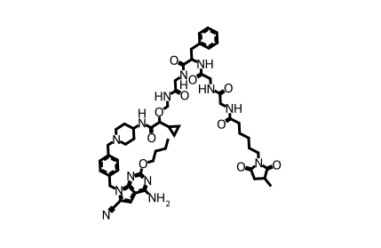 CCCCOc1nc(N)c2cc(C#N)n(Cc3ccc(CN4CCC(NC(=O)C(OCNC(=O)CNC(=O)C(Cc5ccccc5)NC(=O)CNC(=O)CNC(=O)CCCCCN5C(=O)CC(C)C5=O)C5CC5)CC4)cc3)c2n1